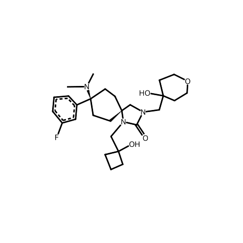 CN(C)[C@]1(c2cccc(F)c2)CC[C@@]2(CC1)CN(CC1(O)CCOCC1)C(=O)N2CC1(O)CCC1